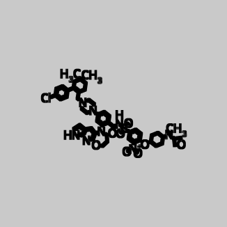 CN(C1CCC(Oc2ccc(S(=O)(=O)NC(=O)c3ccc(N4CCN(CC5=C(c6ccc(Cl)cc6)CC(C)(C)CC5)CC4)cc3N3CCCOc4nc5[nH]ccc5cc43)cc2[N+](=O)[O-])CC1)C1COC1